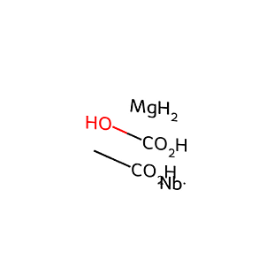 CC(=O)O.O=C(O)O.[MgH2].[Nb]